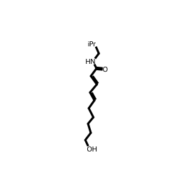 CC(C)CNC(=O)C=CC=CCCCCCO